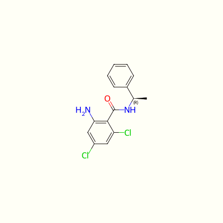 C[C@@H](NC(=O)c1c(N)cc(Cl)cc1Cl)c1ccccc1